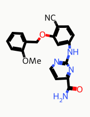 COc1ccccc1COc1cc(Nc2nccc(C(N)=O)n2)ccc1C#N